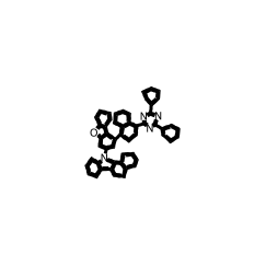 c1ccc(-c2nc(-c3ccccc3)nc(-c3ccc(-c4cc(-n5c6ccccc6c6ccc7ccccc7c65)cc5oc6ccccc6c45)c4ccccc34)n2)cc1